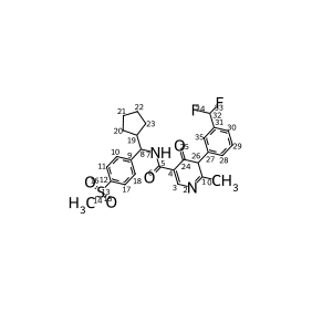 CC1=NC=C(C(=O)NC(c2ccc(S(C)(=O)=O)cc2)C2CCCC2)C(=O)C1c1cccc(C(F)F)c1